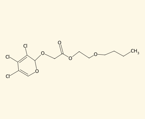 CCCCOCCOC(=O)COC1OC=C(Cl)C(Cl)=C1Cl